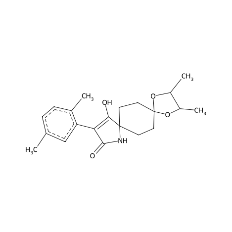 Cc1ccc(C)c(C2=C(O)C3(CCC4(CC3)OC(C)C(C)O4)NC2=O)c1